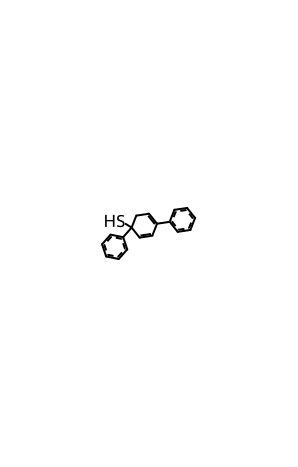 SC1(c2ccccc2)C=CC(c2ccccc2)=CC1